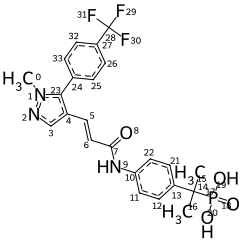 Cn1ncc(C=CC(=O)Nc2ccc(C(C)(C)P(=O)(O)O)cc2)c1-c1ccc(C(F)(F)F)cc1